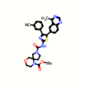 Cc1ncnc2ccc(-c3sc(NC(=O)N4CCC5(COCCN5C(=O)OC(C)(C)C)C4)nc3-c3cccc(C#N)c3)cc12